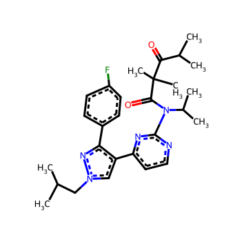 CC(C)Cn1cc(-c2ccnc(N(C(=O)C(C)(C)C(=O)C(C)C)C(C)C)n2)c(-c2ccc(F)cc2)n1